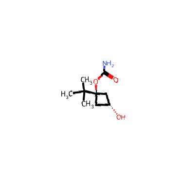 CC(C)(C)[C@]1(OC(N)=O)C[C@H](O)C1